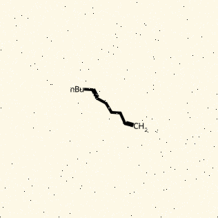 C=CCCC/C=C/CCCC